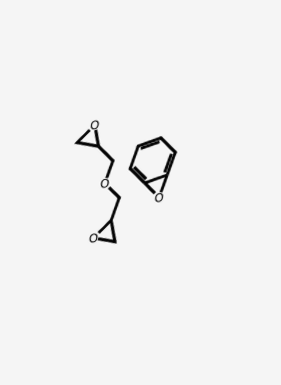 C(OCC1CO1)C1CO1.c1ccc2c(c1)O2